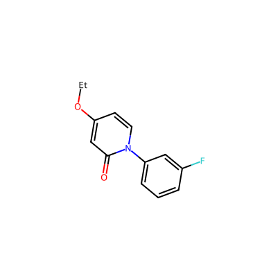 CCOc1ccn(-c2cccc(F)c2)c(=O)c1